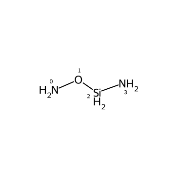 NO[SiH2]N